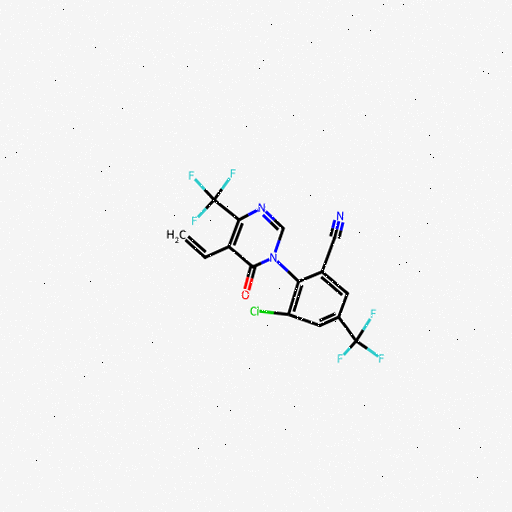 C=Cc1c(C(F)(F)F)ncn(-c2c(Cl)cc(C(F)(F)F)cc2C#N)c1=O